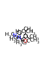 COc1c(CN(C)[C@@H]2CCCC[C@H]2N(C)C)cc(C(C)(C)C)cc1C(C)(C)C